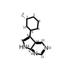 C[C@@H]1CCCC(c2c[nH]c3ncncc23)C1